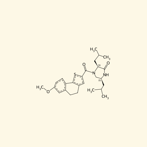 COc1ccc2c(c1)CCc1cc(C(=O)N3C[C@H](CC(C)C)NC(=O)[C@@H]3CC(C)C)sc1-2